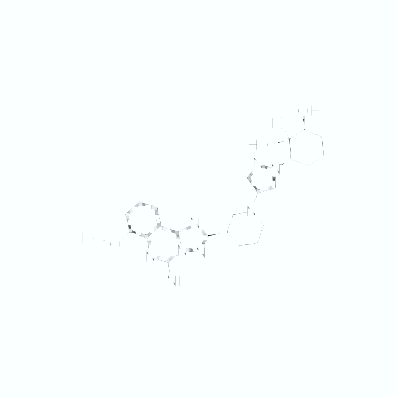 COc1cccc2c1nc(N)n1nc([C@@H]3CCCN(c4cnn([C@@H]5CCC[C@H](O)[C@@]5(C)O)c4)C3)nc21